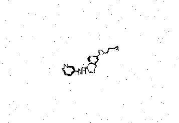 c1cncc(NC[C@@H]2CCCc3cc(OCCC4CC4)ccc32)c1